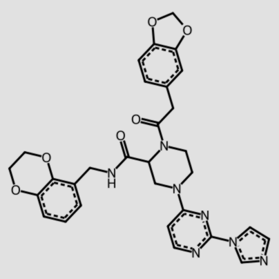 O=C(NCc1cccc2c1OCCO2)C1CN(c2ccnc(-n3ccnc3)n2)CCN1C(=O)Cc1ccc2c(c1)OCO2